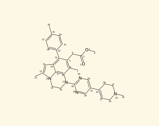 COC(=O)Cc1c(C)c2c3c(cc(C)n3CCN2c2ncc(C3=CCN(C)CC3)cn2)c1-c1ccc(C)cc1